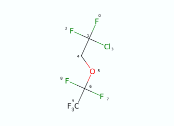 FC(F)(Cl)COC(F)(F)C(F)(F)F